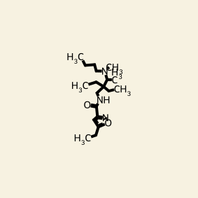 CCCCN(C)C(C)C(CC)(CC)CNC(=O)c1cc(CC)on1